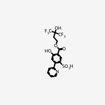 O=C(OCCC(O)(C(F)(F)F)C(F)(F)F)c1cc(S(=O)(=O)O)c(-c2ccccn2)cc1O